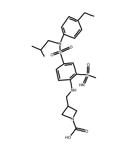 CCc1ccc(N(CC(C)C)S(=O)(=O)c2ccc(NCC3CN(C(=O)O)C3)c(S(C)(=N)=O)c2)cc1